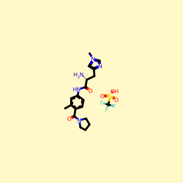 Cc1cc(NC(=O)[C@H](N)Cc2cn(C)cn2)ccc1C(=O)N1CCCC1.O=S(=O)(O)C(F)(F)F